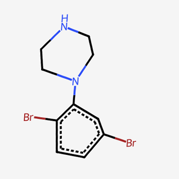 Brc1ccc(Br)c(N2CCNCC2)c1